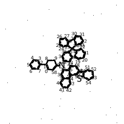 C1=C(c2ccccc2)CCC(N(c2ccc(C3(c4ccccc4)c4ccccc4-c4ccccc43)cc2)c2cc3ccccc3c3c2ccc2c4ccccc4sc23)=C1